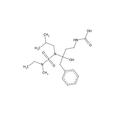 CCN(C)S(=O)(=O)N(CC(C)C)C(O)(CCNC(=O)O)Cc1ccccc1